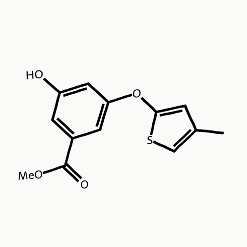 COC(=O)c1cc(O)cc(Oc2cc(C)cs2)c1